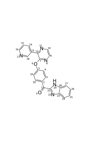 O=C(c1ccc(Oc2nccnc2-c2cccnc2)cc1)c1nc2ccccc2[nH]1